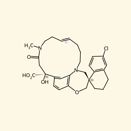 CN1CC/C=C/CCCN2C[C@@]3(CCCc4cc(Cl)ccc43)COc3ccc(cc32)[C@](O)(C(=O)O)CC1=O